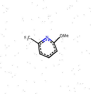 [CH2]Oc1cccc(C(F)(F)F)n1